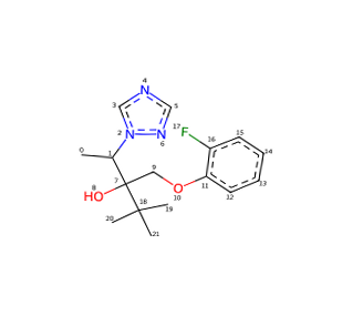 CC(n1cncn1)C(O)(COc1ccccc1F)C(C)(C)C